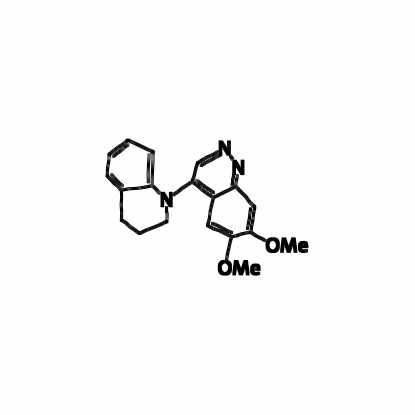 COc1cc2nncc(N3CCCc4ccccc43)c2cc1OC